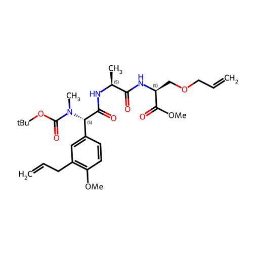 C=CCOC[C@H](NC(=O)[C@H](C)NC(=O)[C@H](c1ccc(OC)c(CC=C)c1)N(C)C(=O)OC(C)(C)C)C(=O)OC